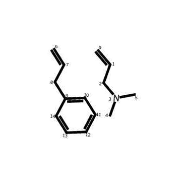 C=CCN(C)C.C=CCc1ccccc1